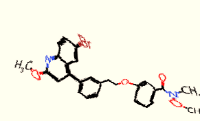 COc1cc(-c2cccc(CCOc3cccc(C(=O)N(C)OC)c3)c2)c2cc(Br)ccc2n1